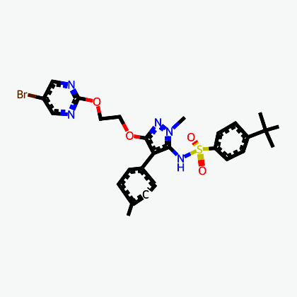 Cc1ccc(-c2c(OCCOc3ncc(Br)cn3)nn(C)c2NS(=O)(=O)c2ccc(C(C)(C)C)cc2)cc1